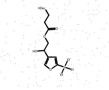 CCCCCCCCCCCCC(=O)OCC(O)c1coc([Si](CC)(CC)CC)c1